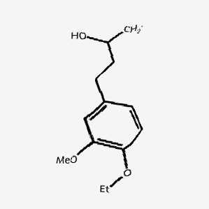 [CH2]C(O)CCc1ccc(OCC)c(OC)c1